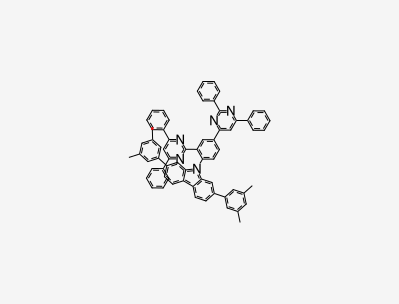 Cc1cc(C)cc(-c2ccc3c4ccc(-c5cc(C)cc(C)c5)cc4n(-c4ccc(-c5cc(-c6ccccc6)nc(-c6ccccc6)n5)cc4-c4nc(-c5ccccc5)cc(-c5ccccc5)n4)c3c2)c1